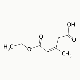 CCOC(=O)C=C(C)CC(=O)O